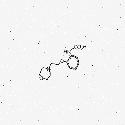 O=C(O)Nc1ccccc1OCCN1CCOCC1